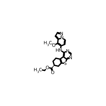 CCOC(=O)[C@H]1CCc2c(sc3ncnc(Nc4ccn5nccc5c4OC)c23)C1